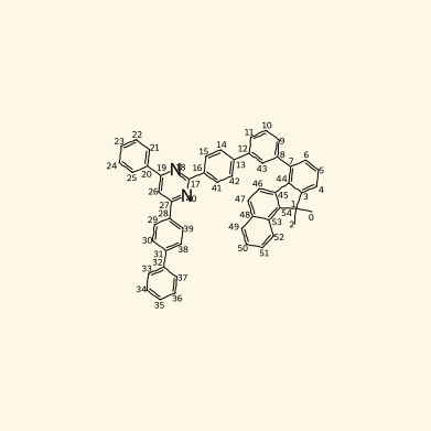 CC1(C)c2cccc(-c3cccc(-c4ccc(-c5nc(-c6ccccc6)cc(-c6ccc(-c7ccccc7)cc6)n5)cc4)c3)c2-c2ccc3ccccc3c21